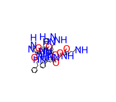 CNCCCC[C@@H](C=O)NC(=O)CNC(=O)[C@H](Cc1c[nH]c2ccccc12)NC(=O)[C@H](CCCNC(=N)N)NC(=O)[C@@H](Cc1ccccc1)NC(=O)[C@H](Cc1c[nH]cn1)NC(=O)CCCc1ccccc1